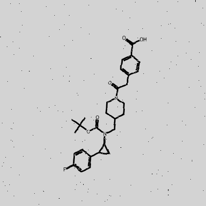 CC(C)(C)OC(=O)N(CC1CCN(C(=O)Cc2ccc(C(=O)O)cc2)CC1)C1CC1c1ccc(F)cc1